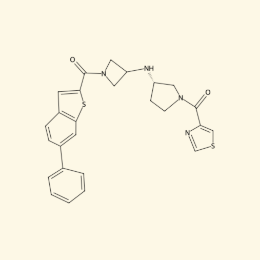 O=C(c1cscn1)N1CC[C@H](NC2CN(C(=O)c3cc4ccc(-c5ccccc5)cc4s3)C2)C1